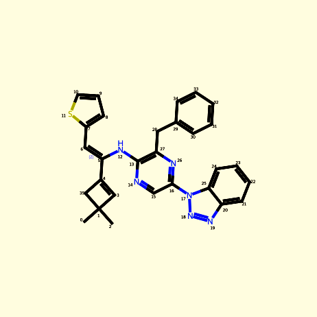 CC1(C)C=C(/C(=C/c2cccs2)Nc2ncc(-n3nnc4ccccc43)nc2Cc2ccccc2)C1